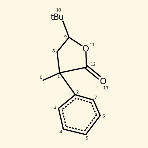 CC1(c2ccccc2)CC(C(C)(C)C)OC1=O